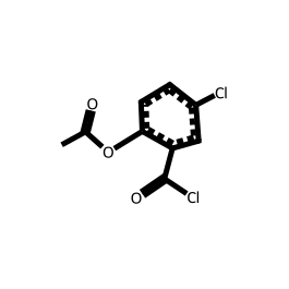 CC(=O)Oc1ccc(Cl)cc1C(=O)Cl